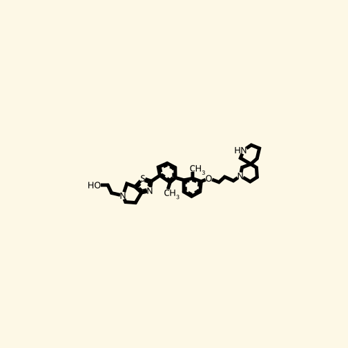 Cc1c(OCCCN2CCCC3(CCCNC3)C2)cccc1-c1cccc(-c2nc3c(s2)CN(CCO)CC3)c1C